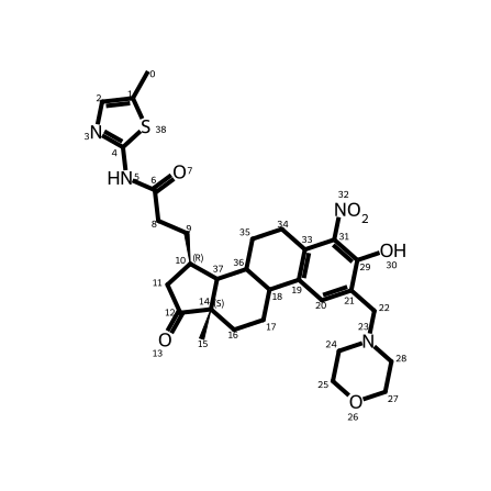 Cc1cnc(NC(=O)CC[C@@H]2CC(=O)[C@@]3(C)CCC4c5cc(CN6CCOCC6)c(O)c([N+](=O)[O-])c5CCC4C23)s1